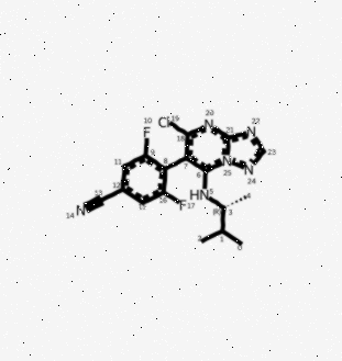 CC(C)[C@@H](C)Nc1c(-c2c(F)cc(C#N)cc2F)c(Cl)nc2ncnn12